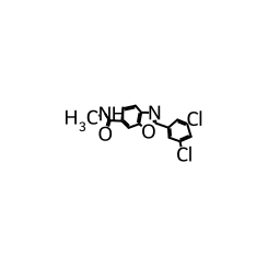 CNC(=O)c1ccc2nc(-c3cc(Cl)cc(Cl)c3)oc2c1